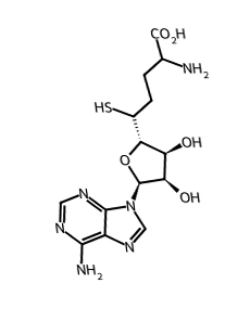 Nc1ncnc2c1ncn2[C@H]1O[C@H](C(S)CCC(N)C(=O)O)[C@@H](O)[C@H]1O